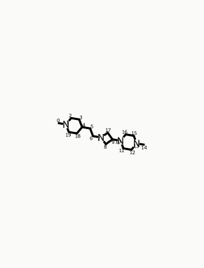 CN1CCC(CCN2CC(N3CCN(C)CC3)C2)CC1